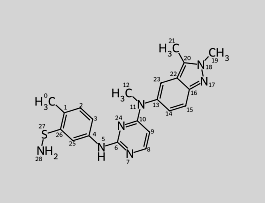 Cc1ccc(Nc2nccc(N(C)c3ccc4nn(C)c(C)c4c3)n2)cc1SN